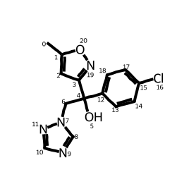 Cc1cc(C(O)(Cn2cncn2)c2ccc(Cl)cc2)no1